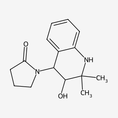 CC1(C)Nc2ccccc2C(N2CCCC2=O)C1O